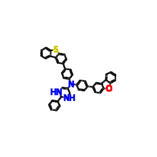 C1=C(N(c2ccc(-c3ccc4oc5ccccc5c4c3)cc2)c2ccc(-c3ccc4sc5ccccc5c4c3)cc2)CNC(c2ccccc2)N1